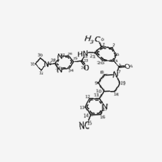 Cc1ccc(C(=O)N2CCC(c3ccc(C#N)cn3)CC2)cc1NC(=O)c1cnc(N2CCC2)nc1